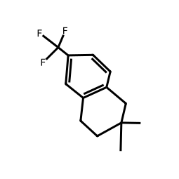 CC1(C)CCc2cc(C(F)(F)F)ccc2C1